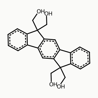 OCC1(CO)c2ccccc2-c2cc3c(cc21)-c1ccccc1C3(CO)CO